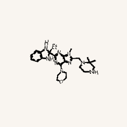 CCC1(c2nc(N3CCOCC3)c3nc(CN4CCNCC4(C)C)n(C)c3n2)Nc2ccccc2N1